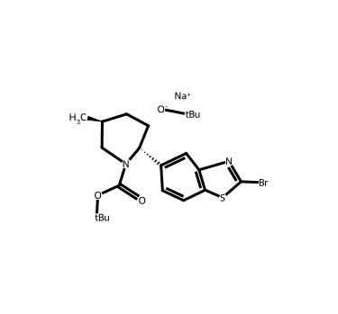 CC(C)(C)[O-].C[C@H]1CC[C@H](c2ccc3sc(Br)nc3c2)N(C(=O)OC(C)(C)C)C1.[Na+]